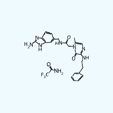 Cc1cnc(NCCc2ccccc2)c(=O)n1CC(=O)NCc1ccc2nc(N)[nH]c2c1.NC(=O)C(F)(F)F